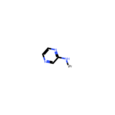 CC(C)Nc1cnc[c]n1